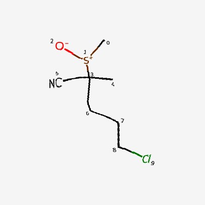 C[S+]([O-])C(C)(C#N)CCCCl